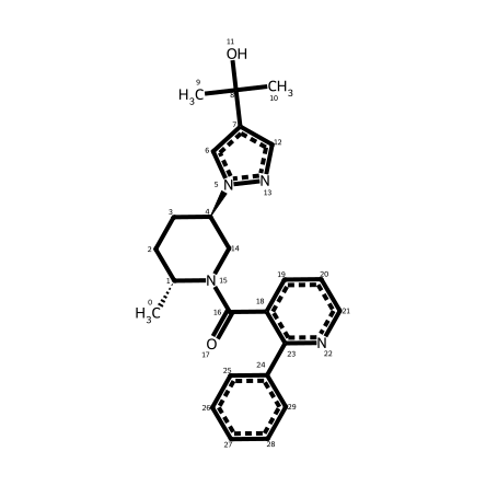 C[C@@H]1CC[C@@H](n2cc(C(C)(C)O)cn2)CN1C(=O)c1cccnc1-c1ccccc1